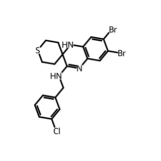 Clc1cccc(CNC2=Nc3cc(Br)c(Br)cc3NC23CCSCC3)c1